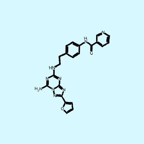 Nc1nc(NCCc2ccc(NC(=O)c3cccnc3)cc2)nc2nc(-c3ccco3)nn12